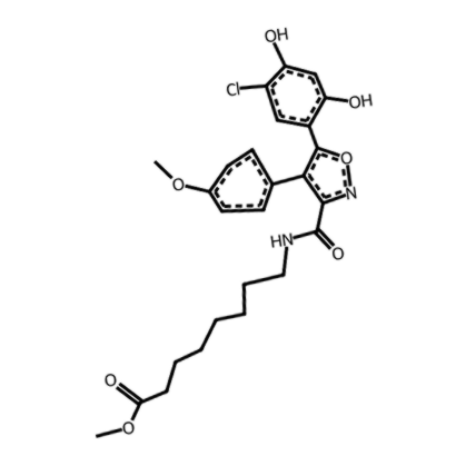 COC(=O)CCCCCCCNC(=O)c1noc(-c2cc(Cl)c(O)cc2O)c1-c1ccc(OC)cc1